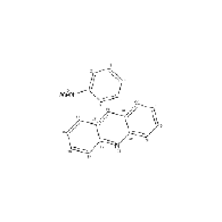 CNc1ccccc1.c1ccc2nc3ccccc3cc2c1